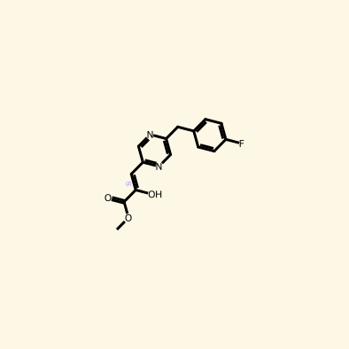 COC(=O)/C(O)=C/c1cnc(Cc2ccc(F)cc2)cn1